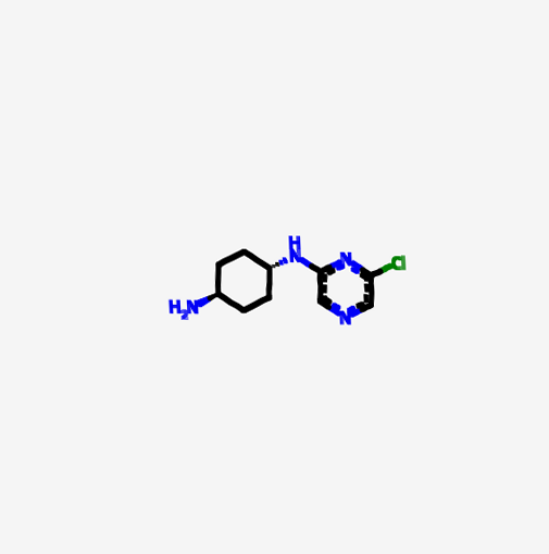 N[C@H]1CC[C@H](Nc2cncc(Cl)n2)CC1